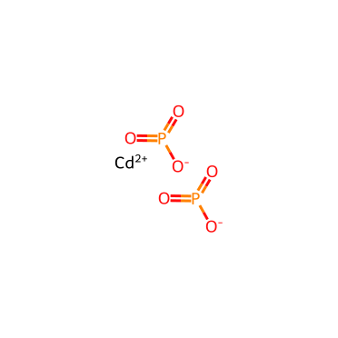 O=P(=O)[O-].O=P(=O)[O-].[Cd+2]